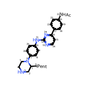 CCCC(C)C1CNCCN1c1ccc(Nc2nccc(-c3ccc(NC(C)=O)cc3)n2)cc1